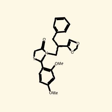 COc1ccc(C2SCC(=O)N2CC(Cc2ccccc2)C2=COCO2)c(OC)c1